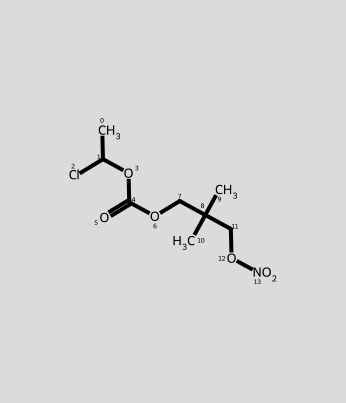 CC(Cl)OC(=O)OCC(C)(C)CO[N+](=O)[O-]